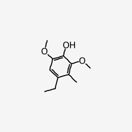 CCc1cc(OC)c(O)c(OC)c1C